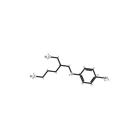 CCCCC(CC)COc1ccc(N)cc1